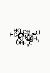 CC(C)CN(C(=O)NCCCl)[C@@H]1O[C@H](CO)[C@H](O)[C@H](O)[C@H]1O